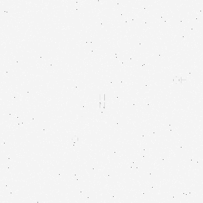 Cc1ccccc1C(=O)NCC(C)(C)CO